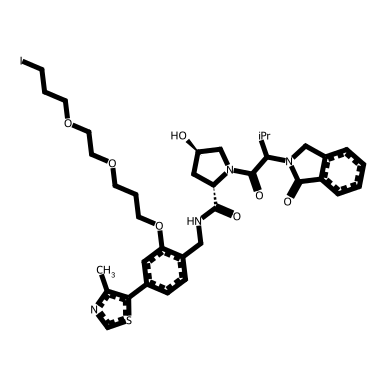 Cc1ncsc1-c1ccc(CNC(=O)[C@@H]2C[C@@H](O)CN2C(=O)C(C(C)C)N2Cc3ccccc3C2=O)c(OCCCOCCOCCCI)c1